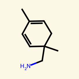 CC1=CCC(C)(CN)C=C1